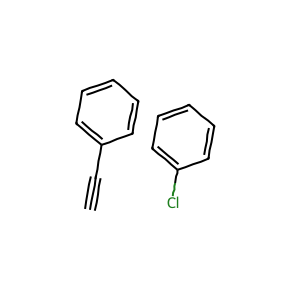 C#Cc1ccccc1.Clc1ccccc1